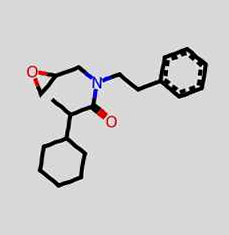 CC(C(=O)N(CCc1ccccc1)CC1CO1)C1CCCCC1